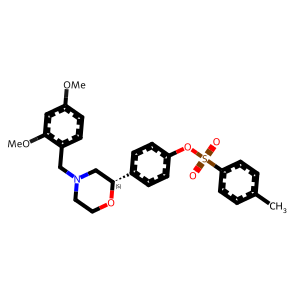 COc1ccc(CN2CCO[C@@H](c3ccc(OS(=O)(=O)c4ccc(C)cc4)cc3)C2)c(OC)c1